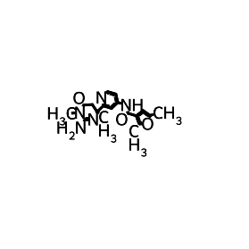 Cc1cc(C(=O)Nc2ccnc(C3(C)CC(=O)N(C)C(N)=N3)c2)c(C)o1